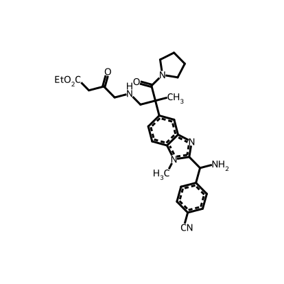 CCOC(=O)CC(=O)CNCC(C)(C(=O)N1CCCC1)c1ccc2c(c1)nc(C(N)c1ccc(C#N)cc1)n2C